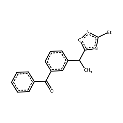 CCc1noc(C(C)c2cccc(C(=O)c3ccccc3)c2)n1